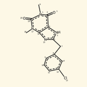 Cn1c(=O)c2[nH]c(Cc3cccc(Cl)c3)nc2n(C)c1=O